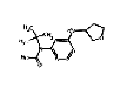 CC(C)(C)N(C(=O)O)c1cc(NC2CCOC2)ncn1